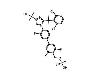 Cc1cc(-c2ccc(-n3cc(C(C)(C)O)nc3C(C)(C)c3c(Cl)cccc3Cl)c(F)c2)cc(F)c1COP(C)(=O)O